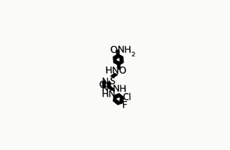 N=C(Nc1ccc(F)c(Cl)c1)c1nonc1SCCNC(=O)c1ccc(C(N)=O)cc1